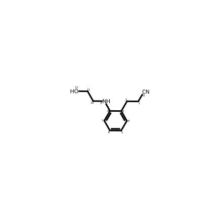 N#CCCc1ccccc1NCCO